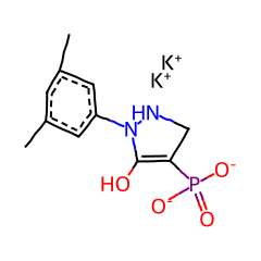 Cc1cc(C)cc(N2NCC(P(=O)([O-])[O-])=C2O)c1.[K+].[K+]